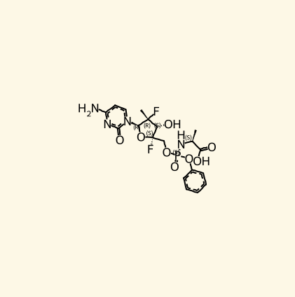 C[C@H](N[P@](=O)(OC[C@@]1(F)O[C@@H](n2ccc(N)nc2=O)[C@](C)(F)[C@@H]1O)Oc1ccccc1)C(=O)O